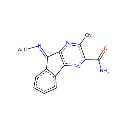 CC(=O)O/N=C1\c2ccccc2-c2nc(C(N)=O)c(C#N)nc21